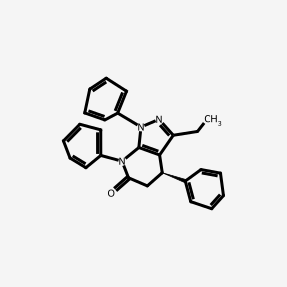 CCc1nn(-c2ccccc2)c2c1[C@@H](c1ccccc1)CC(=O)N2c1ccccc1